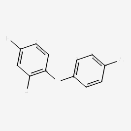 CC(=O)c1ccc(Sc2ccc(F)cc2Br)cc1